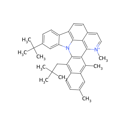 Cc1ccc2c(CC(C)(C)C)c3c(c(C)c2c1)c1c2c(ccc4c5ccc(C(C)(C)C)cc5n3c42)cc[n+]1C